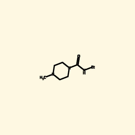 CCNC(=O)N1CCN(C)CC1